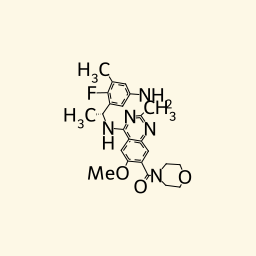 COc1cc2c(N[C@H](C)c3cc(N)cc(C)c3F)nc(C)nc2cc1C(=O)N1CCOCC1